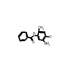 Cc1cc(Cl)c(N)cc1NC(=O)c1ccccc1